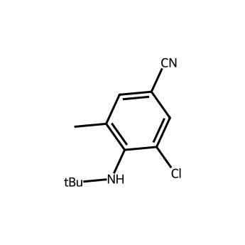 Cc1cc(C#N)cc(Cl)c1NC(C)(C)C